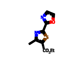 CCOC(=O)c1sc(-c2ncco2)nc1C